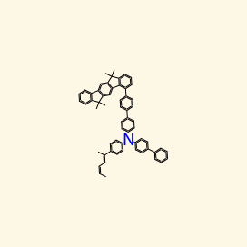 C/C=C\C=C(/C)c1ccc(N(c2ccc(-c3ccccc3)cc2)c2ccc(-c3ccc(-c4cccc5c4-c4cc6c(cc4C5(C)C)-c4ccccc4C6(C)C)cc3)cc2)cc1